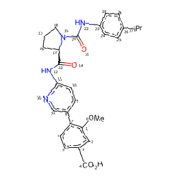 COc1cc(C(=O)O)ccc1-c1ccc(NC(=O)[C@H]2CCCN2C(=O)Nc2ccc(C(C)C)cc2)nc1